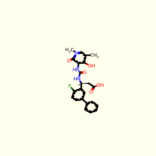 Cc1cn(C)c(=O)c(NC(=O)N[C@@H](CC(=O)O)c2cc(-c3ccccc3)ccc2F)c1O